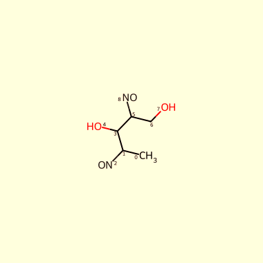 CC(N=O)C(O)C(CO)N=O